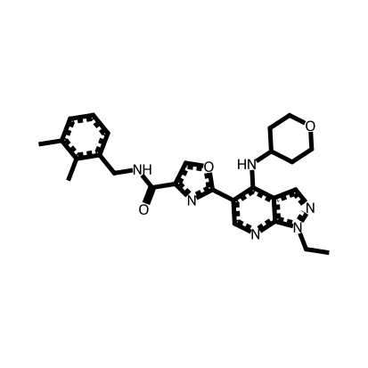 CCn1ncc2c(NC3CCOCC3)c(-c3nc(C(=O)NCc4cccc(C)c4C)co3)cnc21